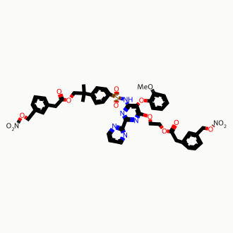 COc1ccccc1Oc1c(NS(=O)(=O)c2ccc(C(C)(C)COC(=O)Cc3cccc(CO[N+](=O)[O-])c3)cc2)nc(-c2ncccn2)nc1OCCOC(=O)Cc1cccc(CO[N+](=O)[O-])c1